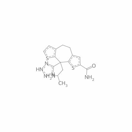 CC(N)CC1(c2nn[nH]n2)c2sccc2CCc2cc(C(N)=O)sc21